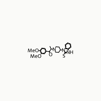 COc1ccc(C(=O)C(C)N2CCC(n3c(=S)[nH]c4ccccc43)CC2)cc1OC